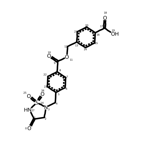 O=C1CN(Cc2ccc(C(=O)OCc3ccc(C(=O)O)cc3)cc2)S(=O)(=O)N1